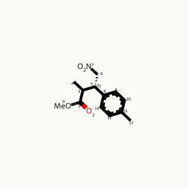 COC(=O)C(C)[C@H](C[N+](=O)[O-])c1ccc(C)cc1